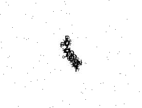 C[C@@H](c1ccc(-c2ccc(F)cc2F)cc1)N1CC[C@](CC#N)(c2ccc(F)cc2)OC1=O